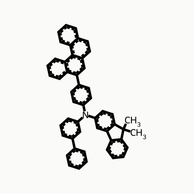 CC1(C)c2ccccc2-c2cc(N(c3ccc(-c4cc5ccc6ccccc6c5c5ccccc45)cc3)c3cccc(-c4ccccc4)c3)ccc21